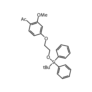 COc1cc(OCCO[Si](c2ccccc2)(c2ccccc2)C(C)(C)C)ccc1C(C)=O